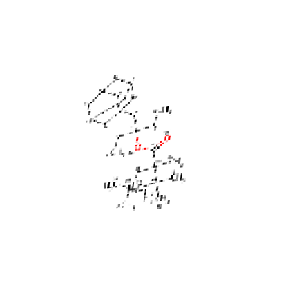 CCC(CC)(CC12CC3CC(CC(C3)C1)C2)OC(=O)C(C)(CC(C)(C)C)C(C)(C)C